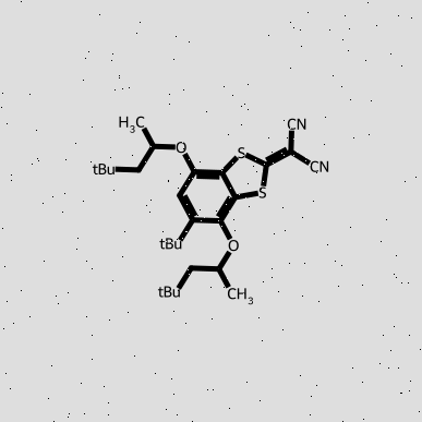 CC(CC(C)(C)C)Oc1cc(C(C)(C)C)c(OC(C)CC(C)(C)C)c2c1SC(=C(C#N)C#N)S2